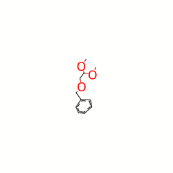 COC(COCc1ccccc1)OC